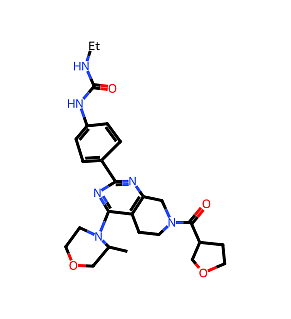 CCNC(=O)Nc1ccc(-c2nc3c(c(N4CCOCC4C)n2)CCN(C(=O)C2CCOC2)C3)cc1